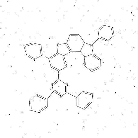 C1=CC2C(c3ccccc3N2c2ccccc2)c2c1oc1c(-c3ccccn3)cc(-c3nc(-c4ccccc4)nc(-c4ccccc4)n3)cc21